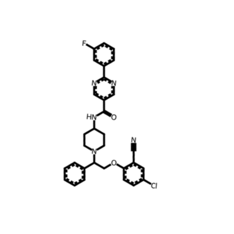 N#Cc1cc(Cl)ccc1OCC(c1ccccc1)N1CCC(NC(=O)c2cnc(-c3cccc(F)c3)nc2)CC1